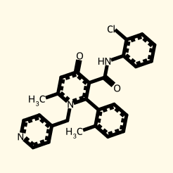 Cc1ccccc1-c1c(C(=O)Nc2ccccc2Cl)c(=O)cc(C)n1Cc1ccncc1